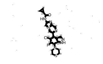 O=C(Nc1cn2cc(-c3c(Cl)c(F)c(N4CCSCC4)c4[nH]ncc34)ncc2n1)C1CC1